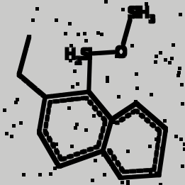 CCc1ccc2ccccc2c1[SiH2]O[SiH3]